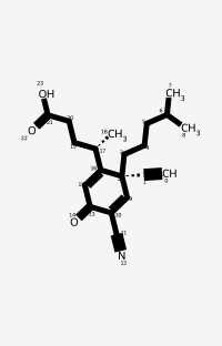 C#C[C@]1(CCCC(C)C)C=C(C#N)C(=O)C=C1[C@@H](C)CCC(=O)O